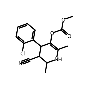 COC(=O)OC1=C(C)NC(C)C(C#N)C1c1ccccc1Cl